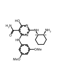 COc1cc(Nc2nc(N[C@@H]3CCCC[C@@H]3N)nc(O)c2C(N)=O)cc(OC)c1